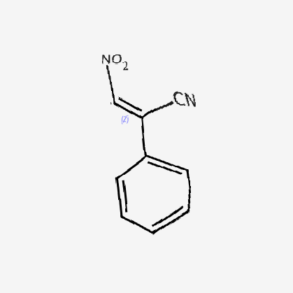 N#C/C(=[C]\[N+](=O)[O-])c1ccccc1